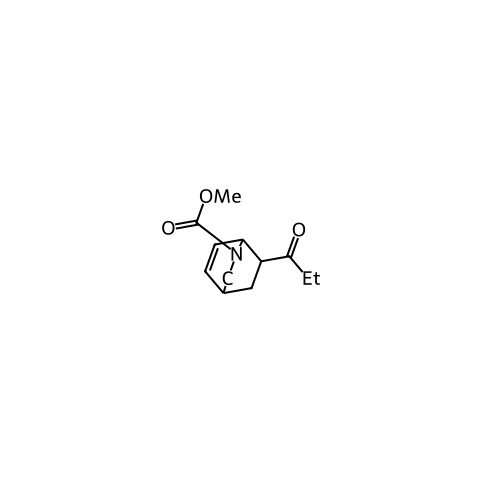 CCC(=O)C1CC2C=CC1N(C(=O)OC)C2